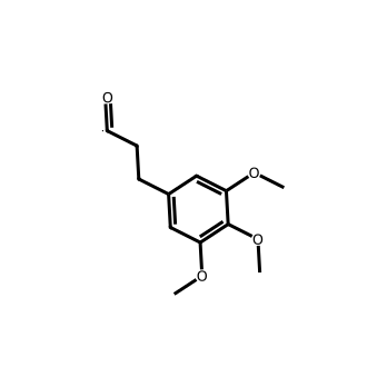 COc1cc(CC[C]=O)cc(OC)c1OC